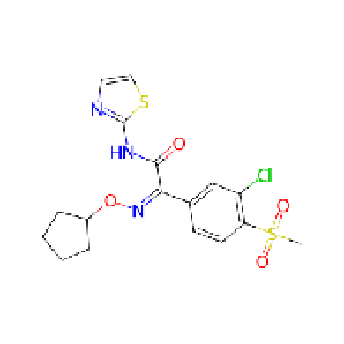 CS(=O)(=O)c1ccc(C(=NOC2CCCC2)C(=O)Nc2nccs2)cc1Cl